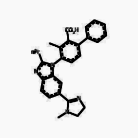 CCCc1nc2ccc(C3=NCCN3C)cc2n1-c1ccc(-c2ccccc2)c(C(=O)O)c1C